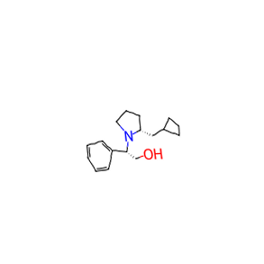 OC[C@H](c1ccccc1)N1CCC[C@@H]1CC1CCC1